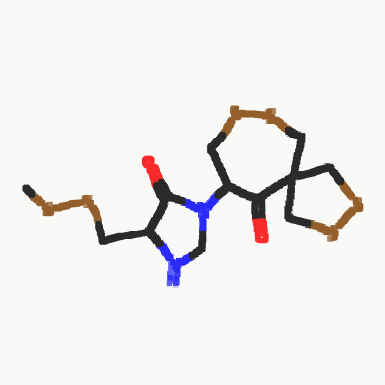 CSSCC1NCN(C2CSSCC3(CSSC3)C2=O)C1=O